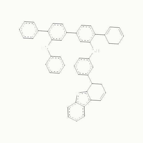 C1=CCCC(c2ccc(-c3ccc(-c4ccccc4)c(Nc4ccccc4)c3)cc2Nc2cccc(C3CC=Cc4c3oc3ccccc43)c2)=C1